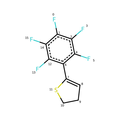 Fc1c(F)c(F)c(C2=CCCS2)c(F)c1F